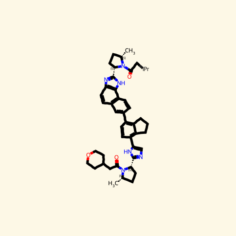 CC(C)CC(=O)N1[C@@H](C)CC[C@H]1c1nc2ccc3cc(-c4ccc(-c5cnc([C@@H]6CC[C@H](C)N6C(=O)CC6CCOCC6)[nH]5)c5c4CCC5)ccc3c2[nH]1